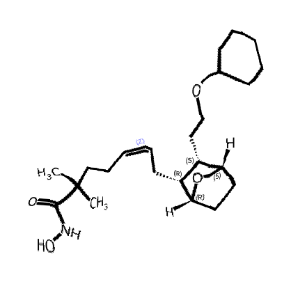 CC(C)(CC/C=C\C[C@@H]1[C@H](CCOC2CCCCC2)[C@@H]2CC[C@H]1O2)C(=O)NO